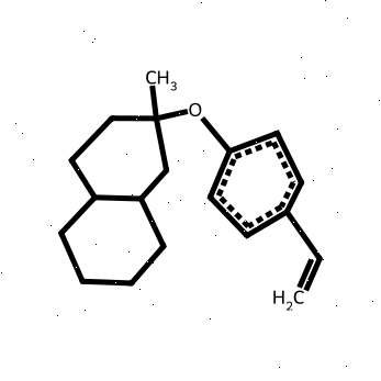 C=Cc1ccc(OC2(C)CCC3CCCCC3C2)cc1